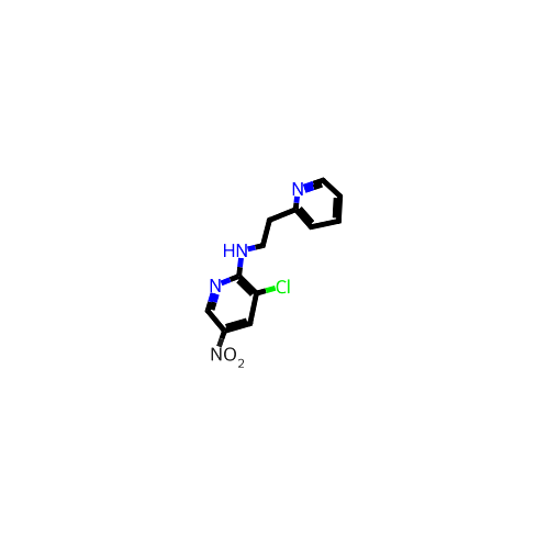 O=[N+]([O-])c1cnc(NCCc2ccccn2)c(Cl)c1